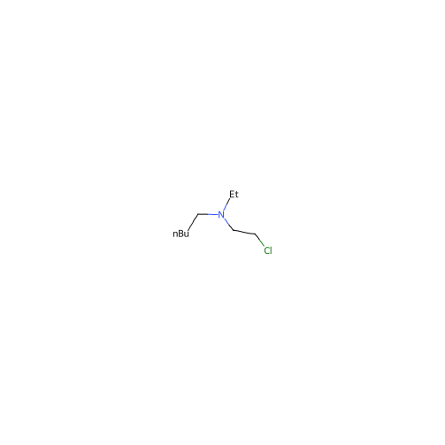 CCCCCN(CC)CCCl